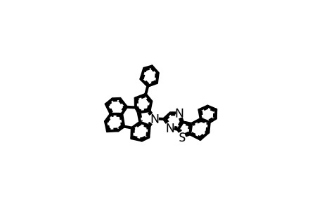 c1ccc(-c2cc3c4c5c(cccc5n(-c5cnc6c(n5)sc5ccc7ccccc7c56)c4c2)-c2cccc4cccc-3c24)cc1